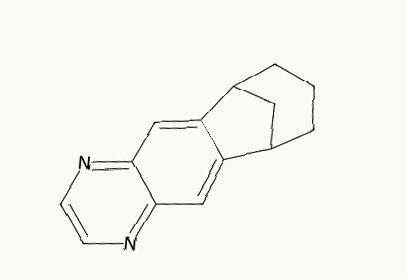 c1cnc2cc3c(cc2n1)C1CCCC3C1